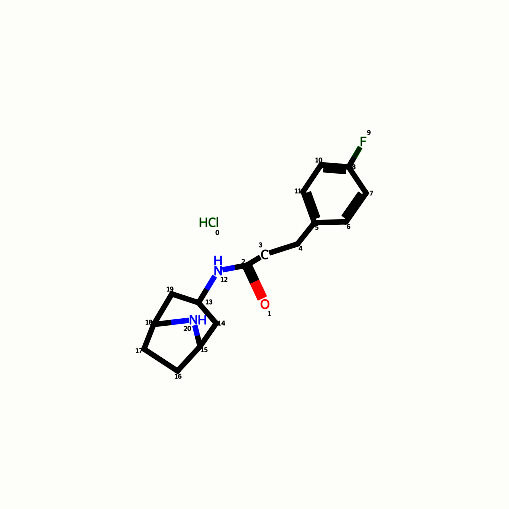 Cl.O=C(CCc1ccc(F)cc1)NC1CC2CCC(C1)N2